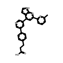 Cc1cccc(-c2cc(-c3cncc(-c4ccc(CCC(=O)O)cc4)c3)c3cc[nH]c3n2)n1